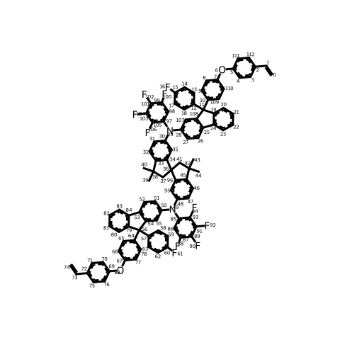 C=Cc1ccc(Oc2ccc(C3(c4ccc(F)cc4)c4ccccc4-c4ccc(N(c5ccc6c(c5)C5(CC6(C)C)CC(C)(C)c6ccc(N(c7ccc8c(c7)C(c7ccc(F)cc7)(c7ccc(Oc9ccc(C=C)cc9)cc7)c7ccccc7-8)c7cc(F)c(F)c(F)c7F)cc65)c5cc(F)c(F)c(F)c5F)cc43)cc2)cc1